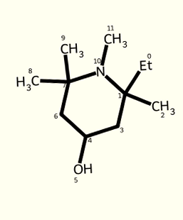 CCC1(C)CC(O)CC(C)(C)N1C